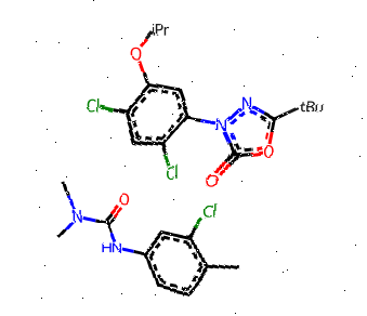 CC(C)Oc1cc(-n2nc(C(C)(C)C)oc2=O)c(Cl)cc1Cl.Cc1ccc(NC(=O)N(C)C)cc1Cl